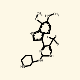 CNc1ccc2c(C3=NC(NC4CCCNC4)NC=C3C(F)(F)F)c[nH]c2c1OC